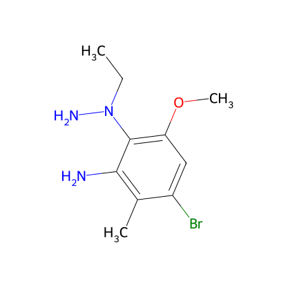 CCN(N)c1c(OC)cc(Br)c(C)c1N